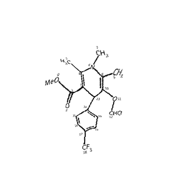 COC(=O)C1=C(C)N(C)C(C)=C(OC=O)C1c1ccc(C(F)(F)F)cc1